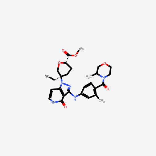 Cc1cc(Nc2nn([C@]3(CC#N)CC[C@@H](C(=O)OC(C)(C)C)OC3)c3cc[nH]c(=O)c23)ccc1C(=O)N1CCOCC1C